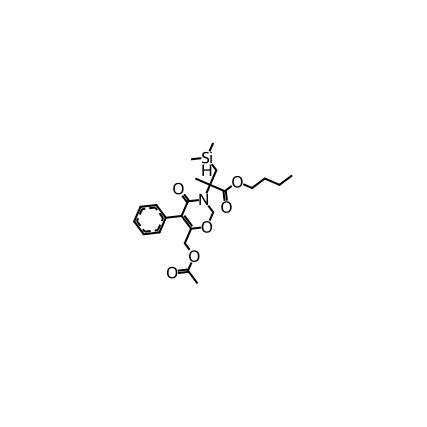 CCCCOC(=O)C(C)(C[SiH](C)C)N1COC(COC(C)=O)=C(c2ccccc2)C1=O